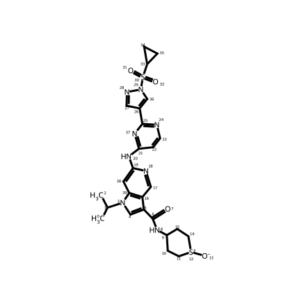 CC(C)n1cc(C(=O)NC2CC[S+]([O-])CC2)c2cnc(Nc3ccnc(-c4cnn(S(=O)(=O)C5CC5)c4)n3)cc21